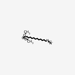 CCOP(=O)(CCCCCCCCCCCCN=[N+]=[N-])OCC